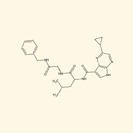 CC(C)CC(NC(=O)c1c[nH]c2ncc(C3CC3)nc12)C(=O)NCC(=O)NCc1ccccc1